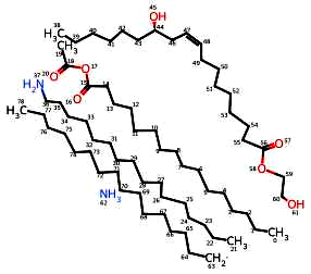 CCCCCCCCCCCCCCCC(=O)OC(C)=O.CCCCCCCCCCCCCCCCN.CCCCCC[C@@H](O)C/C=C\CCCCCCCC(=O)OCCO.N.[CH2]CCCCCCCCCCCCCCC